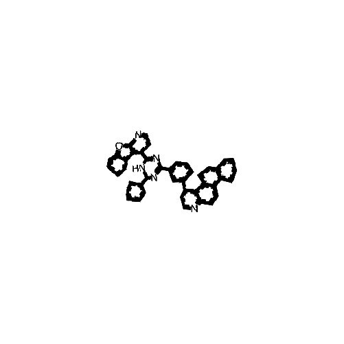 c1ccc(C2N=C(c3cccc(-c4ccnc5ccc6c7ccccc7ccc6c45)c3)N=C(c3ccnc4oc5ccccc5c34)N2)cc1